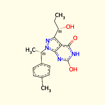 CC[C@H](O)c1nn([C@@H](C)c2ccc(C)cc2)c2nc(O)[nH]c(=O)c12